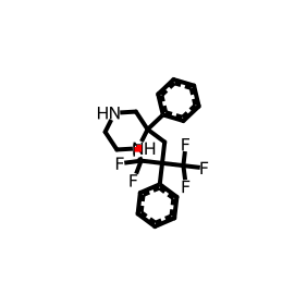 FC(F)(F)C(CC1(c2ccccc2)CNCCN1)(c1ccccc1)C(F)(F)F